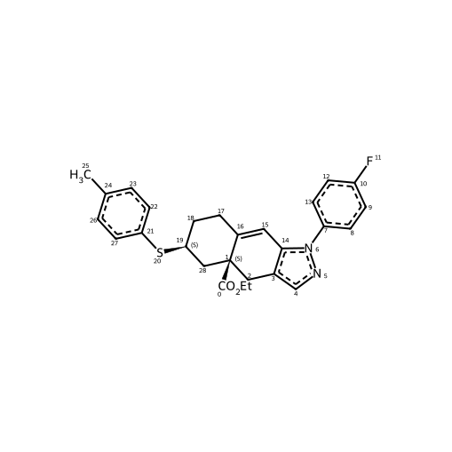 CCOC(=O)[C@]12Cc3cnn(-c4ccc(F)cc4)c3C=C1CC[C@H](Sc1ccc(C)cc1)C2